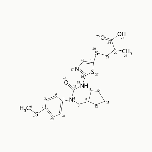 CSc1ccc(N(CC2CCCC2)C(=O)Nc2ncc(SCC(C)C(=O)O)s2)cc1